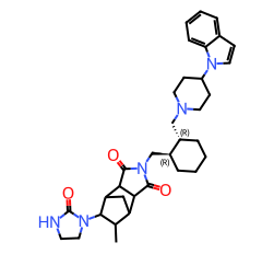 CC1C2CC(C3C(=O)N(C[C@@H]4CCCC[C@H]4CN4CCC(n5ccc6ccccc65)CC4)C(=O)C23)C1N1CCNC1=O